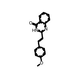 COc1ccc(C=Cc2nc3ccccc3c(=O)[nH]2)cc1